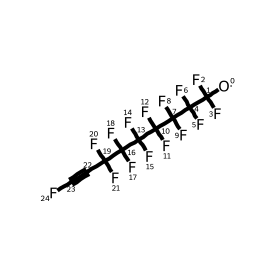 [O]C(F)(F)C(F)(F)C(F)(F)C(F)(F)C(F)(F)C(F)(F)C(F)(F)C#CF